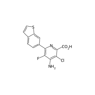 Nc1c(F)c(-c2ccc3ccsc3c2)nc(C(=O)O)c1Cl